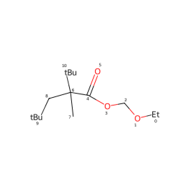 CCOCOC(=O)C(C)(CC(C)(C)C)C(C)(C)C